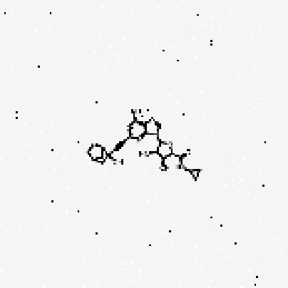 Nc1nc(C#CC2(O)CC3CCC2C3)nc2c1ncn2C1OC(C(=O)NC2CC2)C(O)C1O